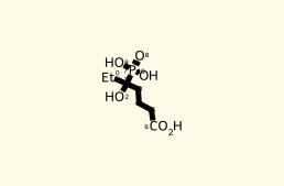 CCC(O)(CCCC(=O)O)P(=O)(O)O